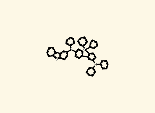 c1ccc(N(c2ccccc2)c2ccc3c(c2)-c2ccc(N(c4ccccc4)c4ccc5sc6ccccc6c5c4)cc2[Si]3(c2ccccc2)c2ccccc2)cc1